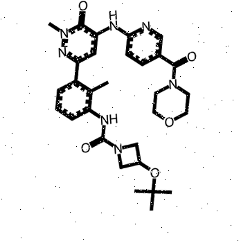 Cc1c(NC(=O)N2CC(OC(C)(C)C)C2)cccc1-c1cc(Nc2ccc(C(=O)N3CCOCC3)cn2)c(=O)n(C)n1